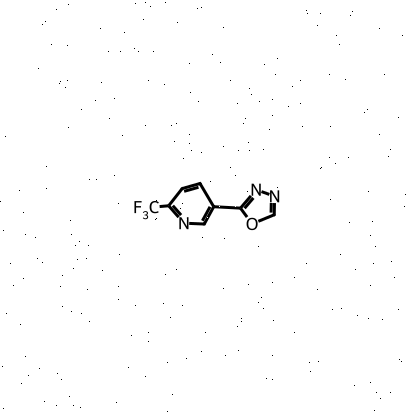 FC(F)(F)c1ccc(-c2nnco2)cn1